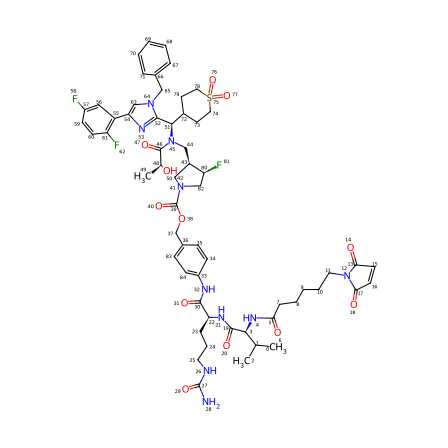 CC(C)[C@H](NC(=O)CCCCCN1C(=O)C=CC1=O)C(=O)N[C@@H](CCCNC(N)=O)C(=O)Nc1ccc(COC(=O)N2C[C@@H](CN(C(=O)[C@H](C)O)[C@@H](c3nc(-c4cc(F)ccc4F)cn3Cc3ccccc3)C3CCS(=O)(=O)CC3)[C@@H](F)C2)cc1